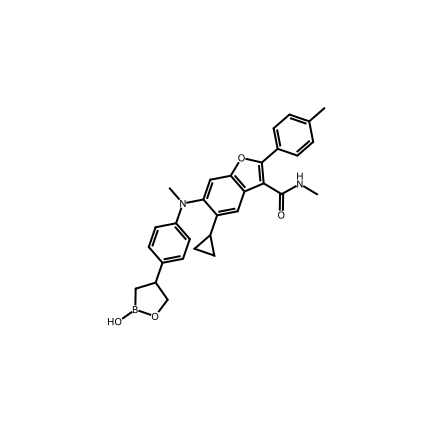 CNC(=O)c1c(-c2ccc(C)cc2)oc2cc(N(C)c3ccc(C4COB(O)C4)cc3)c(C3CC3)cc12